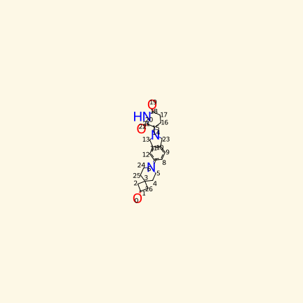 O=C1CC2(CCN(c3ccc4c(c3)CN(C3CCC(=O)NC3=O)C4)CC2)C1